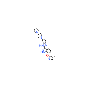 Cc1ccnc(Oc2cccc3c(-c4nc5ccc(N6CCC(N7CCCCC7)CC6)cc5[nH]4)n[nH]c23)c1